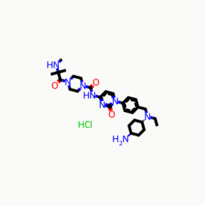 CCN(Cc1ccc(-n2ccc(NC(=O)N3CCN(C(=O)C(C)(C)NC)CC3)nc2=O)cc1)[C@H]1CC[C@H](N)CC1.Cl